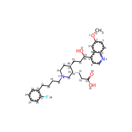 COc1ccc2nccc([C@H](O)CC[C@@H]3CCN(CCCCc4ccccc4F)C[C@H]3CCC(=O)O)c2c1